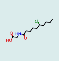 CCCCC(Cl)CCCCC(=O)NCC(=O)O